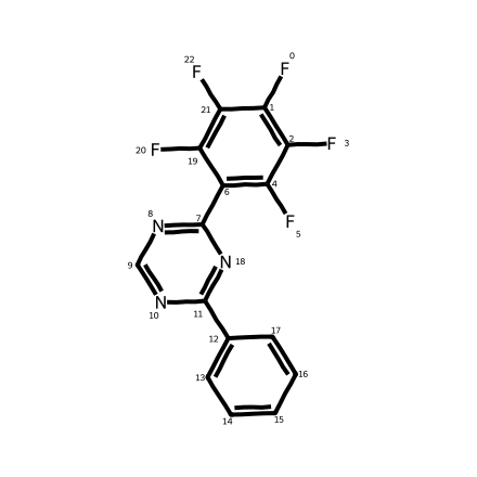 Fc1c(F)c(F)c(-c2ncnc(-c3ccccc3)n2)c(F)c1F